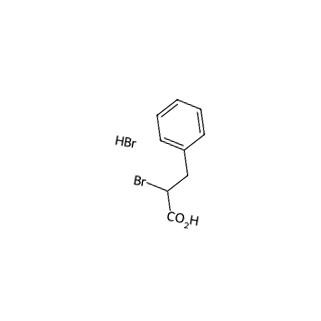 Br.O=C(O)C(Br)Cc1ccccc1